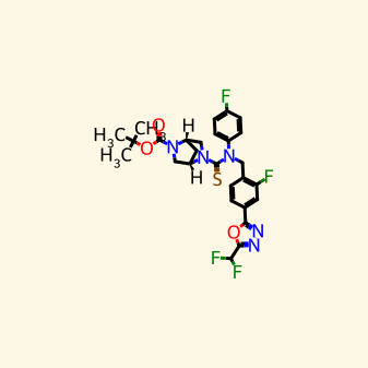 CC(C)(C)OC(=O)N1C[C@@H]2C[C@H]1CN2C(=S)N(Cc1ccc(-c2nnc(C(F)F)o2)cc1F)c1ccc(F)cc1